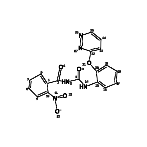 O=C(NC(=O)c1ccccc1[N+](=O)[O-])Nc1ccccc1Oc1cccnn1